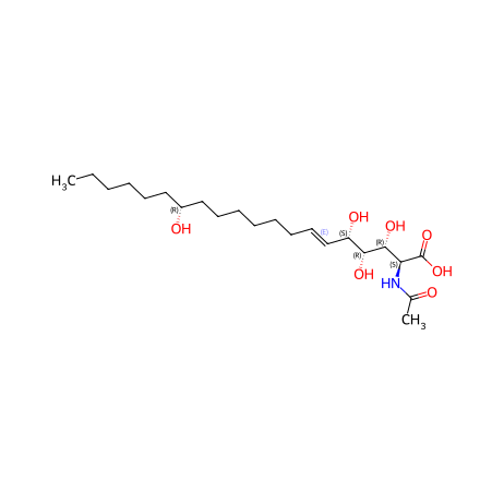 CCCCCC[C@@H](O)CCCCCC/C=C/[C@H](O)[C@@H](O)[C@H](O)[C@H](NC(C)=O)C(=O)O